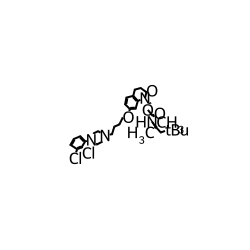 CC(C)(C)CC(C)(C)NC(=O)OCN1C(=O)CCc2ccc(OCCCCN3CCN(c4cccc(Cl)c4Cl)CC3)cc21